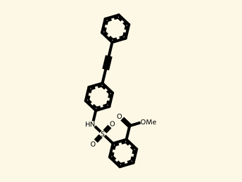 COC(=O)c1ccccc1S(=O)(=O)Nc1ccc(C#Cc2ccccc2)cc1